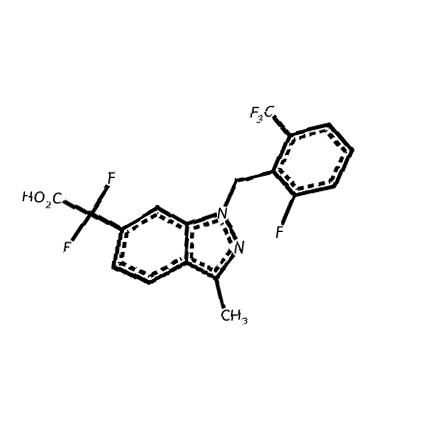 Cc1nn(Cc2c(F)cccc2C(F)(F)F)c2cc(C(F)(F)C(=O)O)ccc12